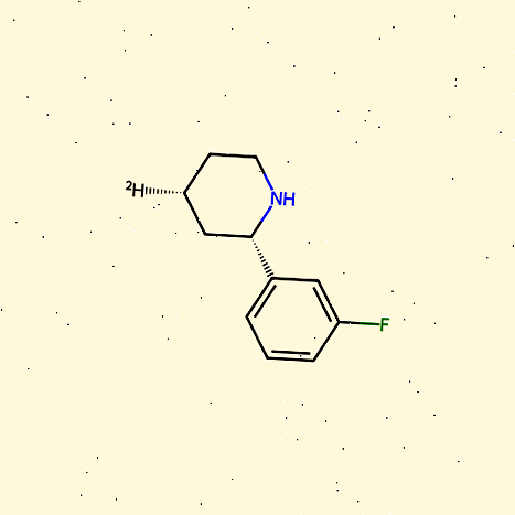 [2H][C@@H]1CCN[C@H](c2cccc(F)c2)C1